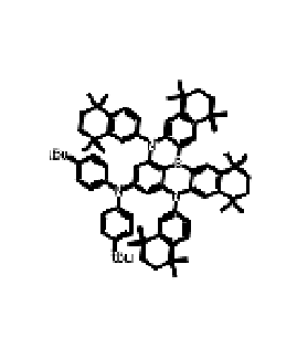 CC(C)(C)c1ccc(N(c2ccc(C(C)(C)C)cc2)c2cc3c4c(c2)N(c2ccc5c(c2)C(C)(C)CCC5(C)C)c2cc5c(cc2B4c2cc4c(cc2N3c2ccc3c(c2)C(C)(C)CCC3(C)C)C(C)(C)CCC4(C)C)C(C)(C)CCC5(C)C)cc1